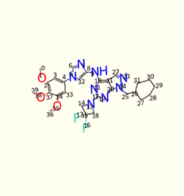 COc1cc(-n2cnc(Nc3nc(N4CC(F)(F)C4)nc4c3cnn4CC3CCCCC3)c2)cc(OC)c1OC